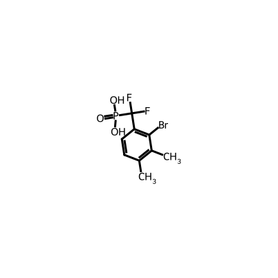 Cc1ccc(C(F)(F)P(=O)(O)O)c(Br)c1C